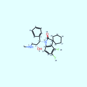 CNC[C@@H](O)[C@H](c1ccccc1)N1C(=O)C2(CCCCC2)c2c1ccc(F)c2F